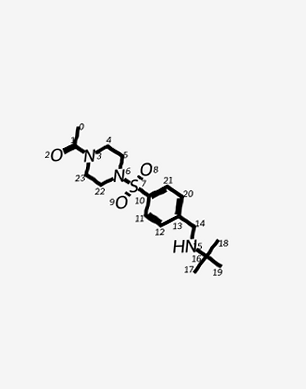 CC(=O)N1CCN(S(=O)(=O)c2ccc(CNC(C)(C)C)cc2)CC1